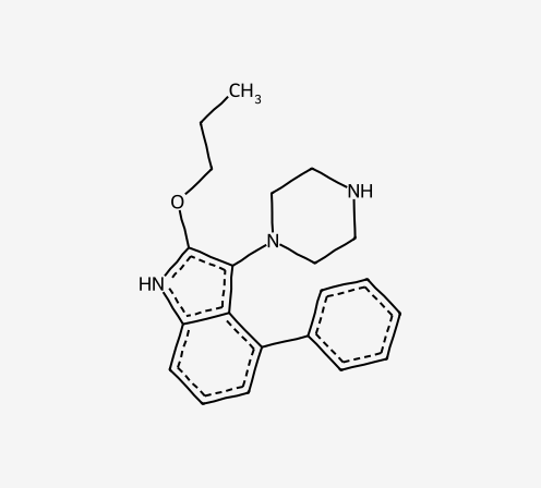 CCCOc1[nH]c2cccc(-c3ccccc3)c2c1N1CCNCC1